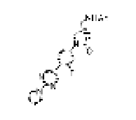 CC(=O)NC[C@H]1CN(c2ccc(-c3cnc(-n4cccc4)nc3)c(F)c2)C(=O)O1